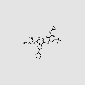 CC(F)(F)CC[C@H](NC(=O)C1CC(C2CCCC2)CN1C(=O)[C@@H](NC(=O)O)C(C)(C)C)C(=O)C(=O)NC1CC1